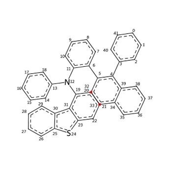 c1ccc(-c2c(-c3ccccc3N(c3ccccc3)c3cccc4sc5ccccc5c34)ccc3ccccc23)cc1